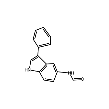 O=CNc1ccc2[nH]cc(-c3ccccc3)c2c1